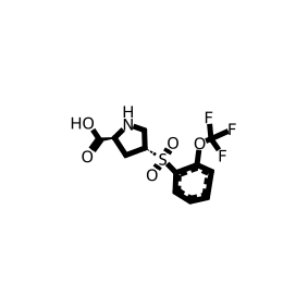 O=C(O)[C@@H]1C[C@@H](S(=O)(=O)c2ccccc2OC(F)(F)F)CN1